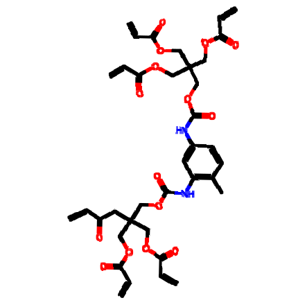 C=CC(=O)CC(COC(=O)C=C)(COC(=O)C=C)COC(=O)Nc1cc(NC(=O)OCC(COC(=O)C=C)(COC(=O)C=C)COC(=O)C=C)ccc1C